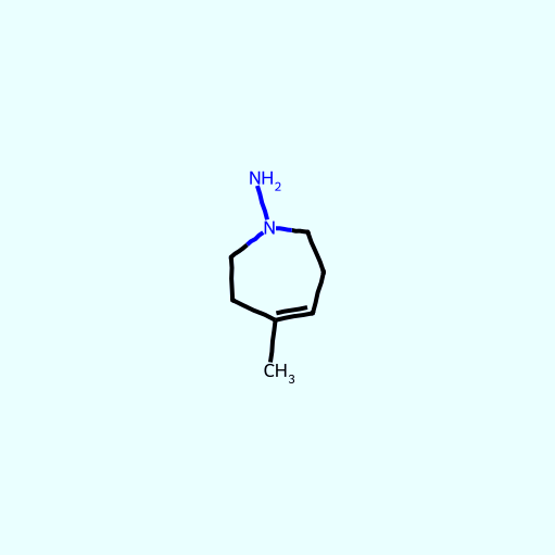 CC1=CCCN(N)CC1